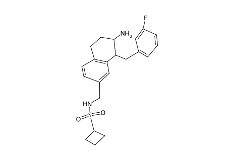 NC1CCc2ccc(CNS(=O)(=O)C3CCC3)cc2C1Cc1cccc(F)c1